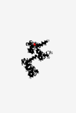 CC(Cl)(Cc1ccccc1)C(=O)[O-].CCCCCCOc1nsnc1C1=CCC[N+](C)(C(OC(=O)CC)c2ccccc2)C1.CCCCCCOc1nsnc1C1=CCC[N+](C)(C(OC(=O)CC)c2ccccc2)C1.[Cl-]